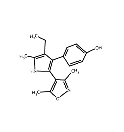 CCc1c(C)[nH]c(-c2c(C)noc2C)c1-c1ccc(O)cc1